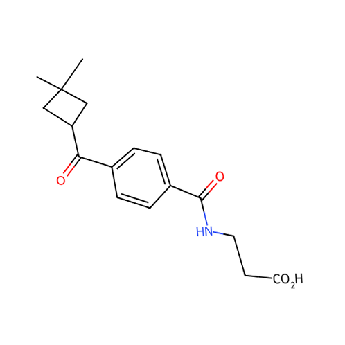 CC1(C)CC(C(=O)c2ccc(C(=O)NCCC(=O)O)cc2)C1